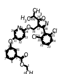 CCOC(=O)c1cccc(Oc2ccc(OCc3c(-c4c(Cl)cccc4Cl)noc3C(C)C)nc2)c1